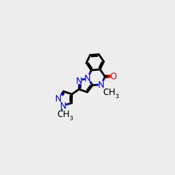 Cn1cc(-c2cc3n(C)c(=O)c4ccccc4n3n2)cn1